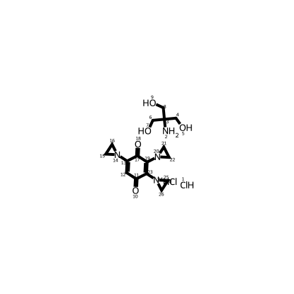 Cl.Cl.NC(CO)(CO)CO.O=C1C=C(N2CC2)C(=O)C(N2CC2)=C1N1CC1